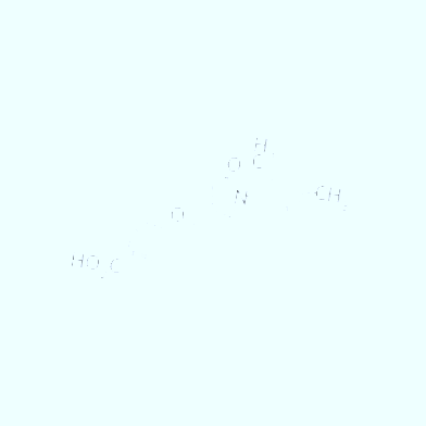 Cc1ccc(N2CC(COc3ccc(C(=O)O)cc3)CC2=O)c(C)c1